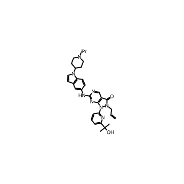 C=CCn1c(=O)c2cnc(Nc3ccc4c(ccn4C4CCN(C(C)C)CC4)c3)nc2n1-c1cccc(C(C)(C)O)n1